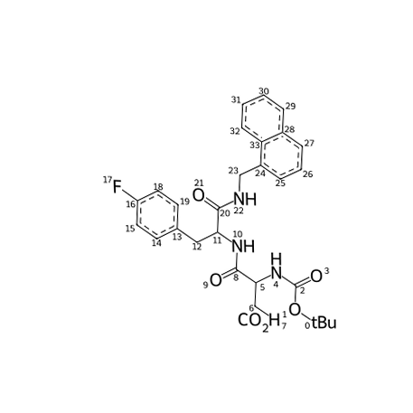 CC(C)(C)OC(=O)NC(CC(=O)O)C(=O)NC(Cc1ccc(F)cc1)C(=O)NCc1cccc2ccccc12